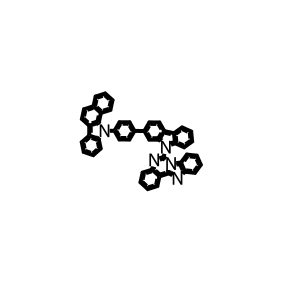 c1ccc2c(c1)ccc1c3ccccc3n(-c3ccc(-c4ccc5c6ccccc6n(-c6nc7ccccc7c7nc8ccccc8n67)c5c4)cc3)c21